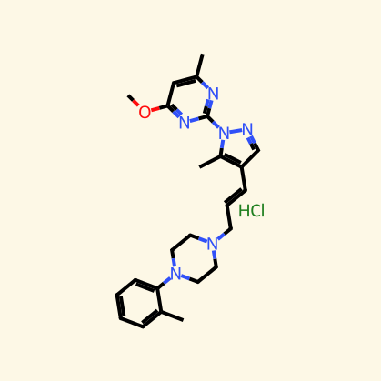 COc1cc(C)nc(-n2ncc(C=CCN3CCN(c4ccccc4C)CC3)c2C)n1.Cl